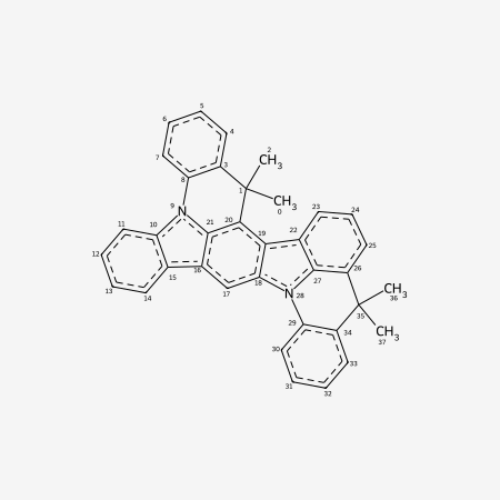 CC1(C)c2ccccc2-n2c3ccccc3c3cc4c(c1c32)c1cccc2c1n4-c1ccccc1C2(C)C